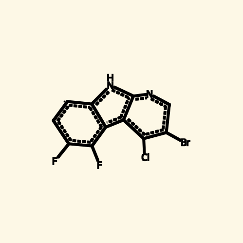 Fc1c[c]c2[nH]c3ncc(Br)c(Cl)c3c2c1F